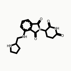 O=C1CCC(N2C(=O)c3cccc(NCC4CCCN4)c3C2=O)C(=O)N1